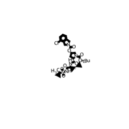 CC(C)(C)OC(=O)N1C[C@H](OC(=O)N2Cc3cccc(Cl)c3C2)C[C@H]1C(=O)N[C@]1(C(=O)NS(=O)(=O)C2(C)CC2)C[C@H]1C1CC1